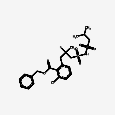 CC(C)CS(=O)(=O)NS(=O)(=O)CC(C)(F)Cc1cccc(Cl)c1C(=O)OCc1ccccc1